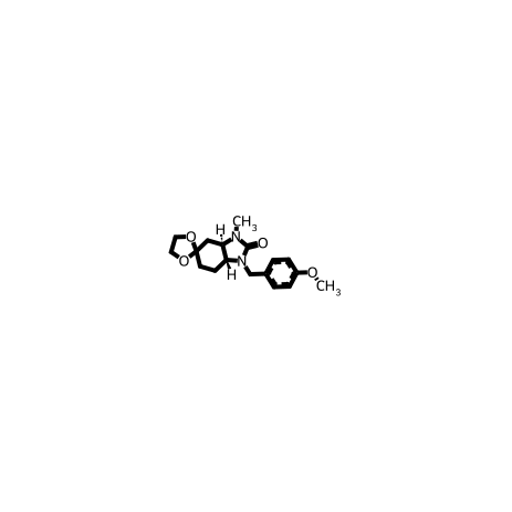 COc1ccc(CN2C(=O)N(C)[C@@H]3CC4(CC[C@H]32)OCCO4)cc1